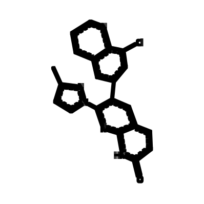 Cc1ccn(-c2nc3[nH]c(=O)ccc3cc2-c2cc(Cl)c3ncccc3c2)n1